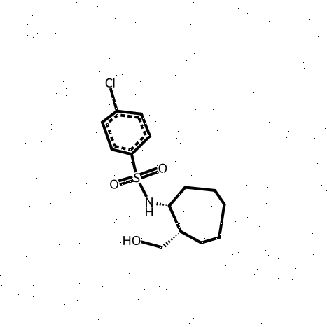 O=S(=O)(N[C@@H]1CCCCC[C@@H]1CO)c1ccc(Cl)cc1